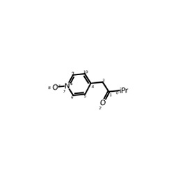 CC(C)C(=O)Cc1cc[n+]([O-])cc1